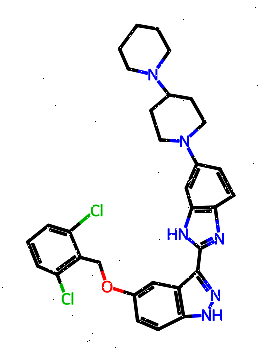 Clc1cccc(Cl)c1COc1ccc2[nH]nc(-c3nc4ccc(N5CCC(N6CCCCC6)CC5)cc4[nH]3)c2c1